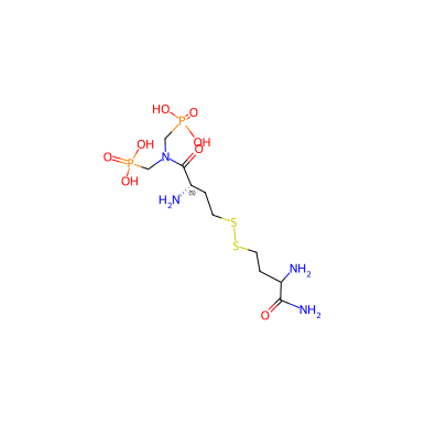 NC(=O)C(N)CCSSCC[C@H](N)C(=O)N(CP(=O)(O)O)CP(=O)(O)O